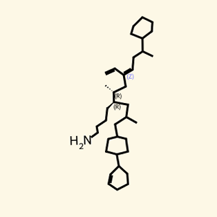 C=C/C(=C\CC(C)C1CCCCC1)C[C@@H](C)[C@H](CCCCN)CC(C)CC1CCC(C2C=CCCC2)CC1